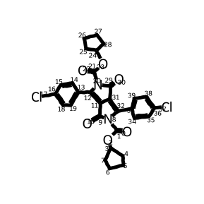 O=C(OC1CCCC1)N1C(=O)C2=C(c3ccc(Cl)cc3)N(C(=O)OC3CCCC3)C(=O)C2=C1c1ccc(Cl)cc1